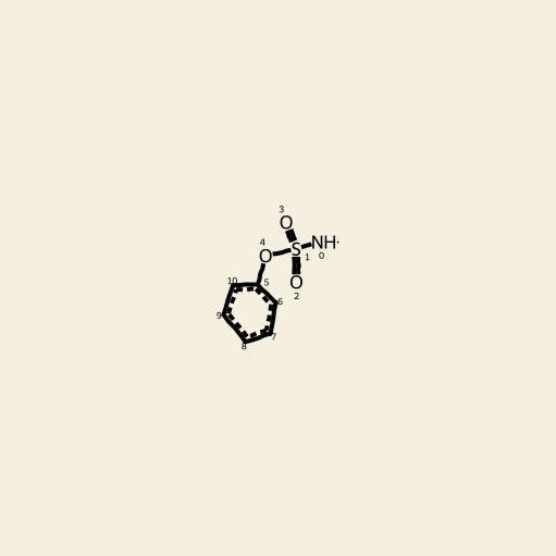 [NH]S(=O)(=O)Oc1ccccc1